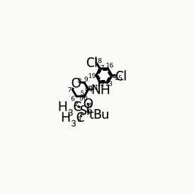 CC(C)(C)[Si](C)(C)O[C@@H]1CCOC[C@H]1Nc1cc(Cl)cc(Cl)c1